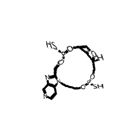 FC1C2CO[C@@H]1COP(S)OCCn1c(nc3cnccc31)COP(S)O2